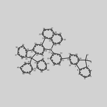 CC1(C)c2ccccc2-c2cc(-c3cccc(N4c5cc6c(cc5-c5cccc7cccc4c57)-c4ccccc4C6(c4ccccc4)c4ccccc4)c3)ccc21